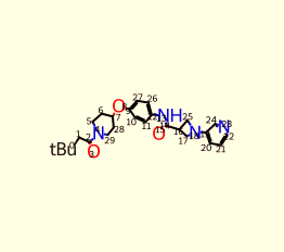 CC(C)(C)CC(=O)N1CCC(Oc2ccc(NC(=O)C3CN(c4cccnc4)C3)cc2)CC1